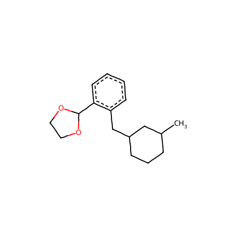 CC1CCCC(Cc2ccccc2C2OCCO2)C1